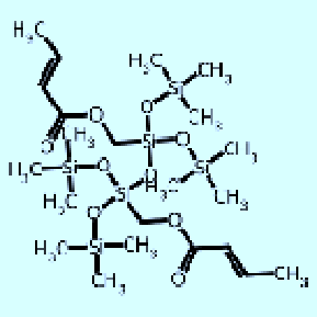 CC=CC(=O)OC[Si](O[Si](C)(C)C)(O[Si](C)(C)C)O[Si](COC(=O)C=CC)(O[Si](C)(C)C)O[Si](C)(C)C